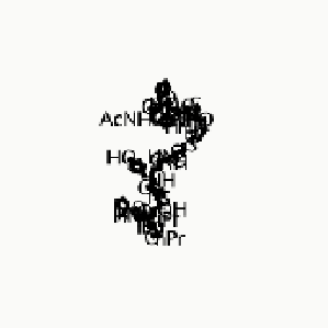 CCCC(=O)OCN(C(=O)[C@@H](NC(=O)[C@H]1CCCCN1C)C(C)CC)[C@H](C[C@@H](O)c1nc(C(=O)N[C@@H](Cc2ccc(O)cc2)C[C@H](C)C(=O)NNC(=O)OCCSSC[C@H](C)NC(=O)[C@H](CC(=O)O)NC(=O)[C@@H](N)CNC(=O)[C@H](Cc2ccccc2)NC(=O)[C@H](Cc2ccccc2)NC(C)=O)cs1)C(C)C